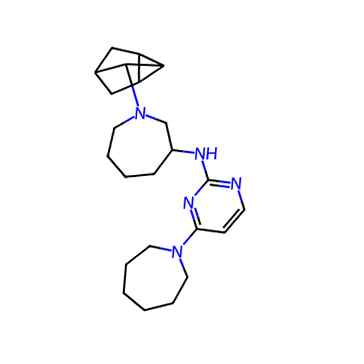 c1cc(N2CCCCCC2)nc(NC2CCCCN(C3C4CC5C(C4)C53)C2)n1